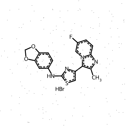 Br.Cc1nc2ccc(F)cn2c1-c1csc(Nc2ccc3c(c2)OCO3)n1